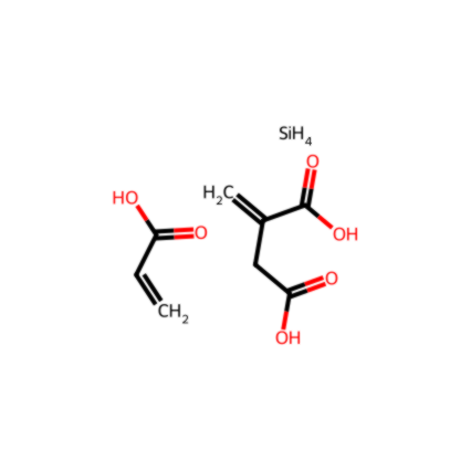 C=C(CC(=O)O)C(=O)O.C=CC(=O)O.[SiH4]